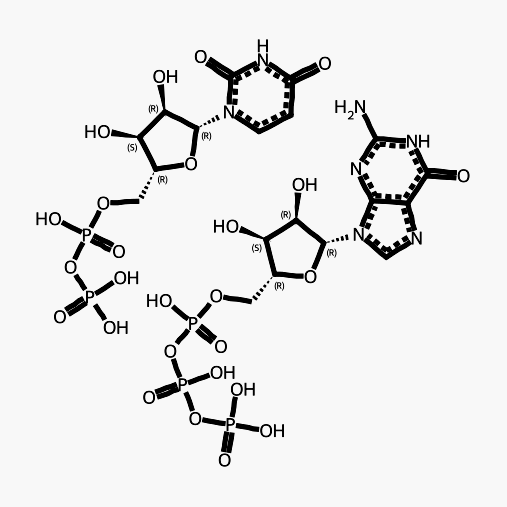 Nc1nc2c(ncn2[C@@H]2O[C@H](COP(=O)(O)OP(=O)(O)OP(=O)(O)O)[C@@H](O)[C@H]2O)c(=O)[nH]1.O=c1ccn([C@@H]2O[C@H](COP(=O)(O)OP(=O)(O)O)[C@@H](O)[C@H]2O)c(=O)[nH]1